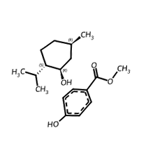 CC(C)[C@@H]1CC[C@@H](C)C[C@H]1O.COC(=O)c1ccc(O)cc1